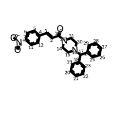 O=C(C=Cc1ccc([N+](=O)[O-])cc1)N1CCN(C(c2ccccc2)c2ccccc2)CC1